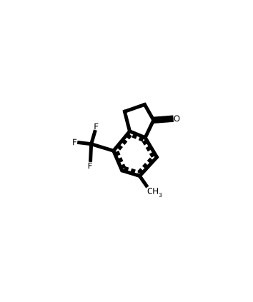 Cc1cc2c(c(C(F)(F)F)c1)CCC2=O